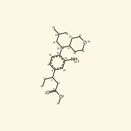 CCC(CC(=O)OC)c1ccc(N(CC(C)C)C2CCOCC2)c(N)c1